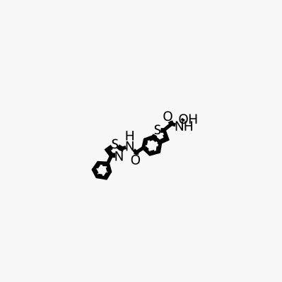 O=C(Nc1nc(-c2ccccc2)cs1)c1ccc2cc(C(=O)NO)sc2c1